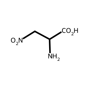 NC(C[N+](=O)[O-])C(=O)O